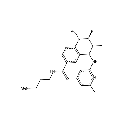 CNCCCNC(=O)c1ccc2c(c1)C(Nc1cccc(C)n1)C(C)[C@H](C)N2C(C)=O